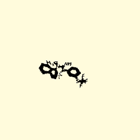 CN(C(=N)N(C)c1cccc2ccccc12)c1cccc(SC(F)(F)F)c1